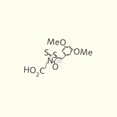 COc1cc(/C=C2\SC(=S)N(CCC(=O)O)C2=O)cc(OC)c1